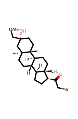 COC[C@@]1(O)CC[C@H]2[C@@H](CC[C@@H]3[C@@H]2CC[C@]2(C)[C@@H](C(=O)CBr)CC[C@@H]32)C1